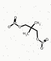 [CH2]C([CH2])(CO[N+](=O)[O-])CO[N+](=O)[O-]